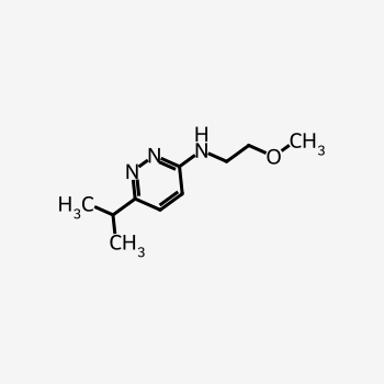 COCCNc1ccc(C(C)C)nn1